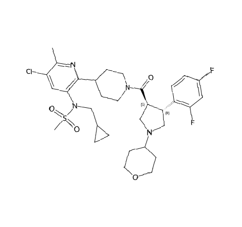 Cc1nc(C2CCN(C(=O)[C@@H]3CN(C4CCOCC4)C[C@H]3c3ccc(F)cc3F)CC2)c(N(CC2CC2)S(C)(=O)=O)cc1Cl